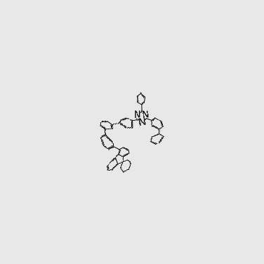 c1ccc(-c2cccc(-c3nc(-c4ccccc4)nc(-c4ccc(-c5cccc(-c6cccc(-c7cccc8c7-c7ccccc7C87CCCCC7)c6)c5)cc4)n3)c2)cc1